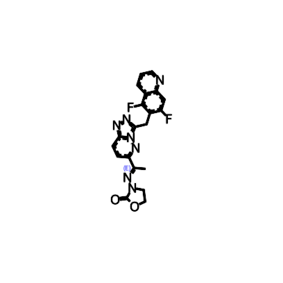 C/C(=N\N1CCOC1=O)c1ccc2nnc(Cc3c(F)cc4ncccc4c3F)n2n1